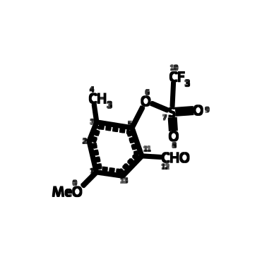 COc1cc(C)c(OS(=O)(=O)C(F)(F)F)c(C=O)c1